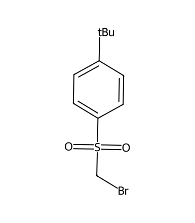 CC(C)(C)c1ccc(S(=O)(=O)CBr)cc1